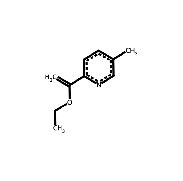 C=C(OCC)c1ccc(C)cn1